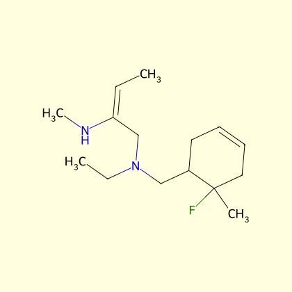 C/C=C(\CN(CC)CC1CC=CCC1(C)F)NC